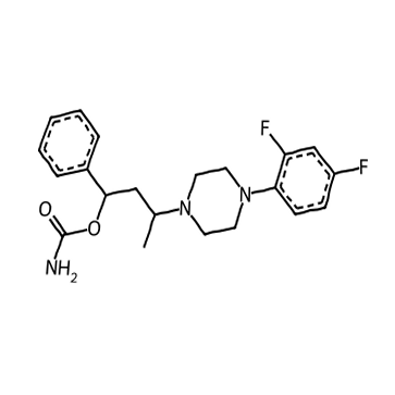 CC(CC(OC(N)=O)c1ccccc1)N1CCN(c2ccc(F)cc2F)CC1